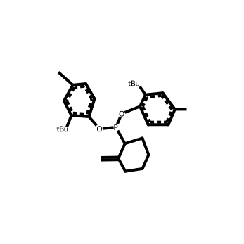 C=C1CCCCC1P(Oc1ccc(C)cc1C(C)(C)C)Oc1ccc(C)cc1C(C)(C)C